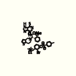 CC[N+](C)(C)Cc1ccccc1Br.COC(=O)[C@H](c1ccccc1Cl)N1CCc2sccc2C1.Cc1ccc(S(=O)(=O)[O-])cc1.S=c1nc[nH]c2nc[nH]c12